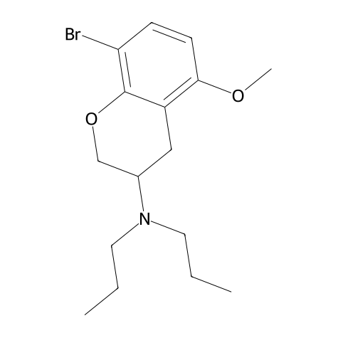 CCCN(CCC)C1COc2c(Br)ccc(OC)c2C1